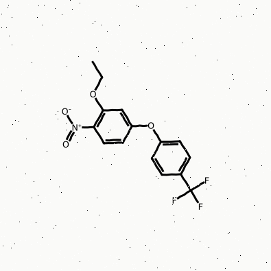 CCOc1cc(Oc2ccc(C(F)(F)F)cc2)ccc1[N+](=O)[O-]